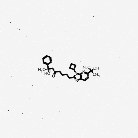 CC(C)(O)c1ccc2nc(CCCCC(=O)C[C@](C)(O)c3ccccc3)n(C3CCC3)c2n1